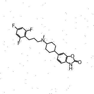 CN(CCCc1c(F)cc(F)cc1F)C1CCC(c2ccc3[nH]c(=O)oc3c2)CC1